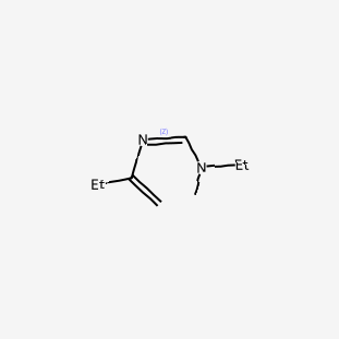 C=C(CC)/N=C\N(C)CC